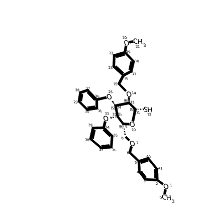 COc1ccc(COC[C@H]2O[C@@H](S)[C@H](OCc3ccc(OC)cc3)[C@@H](Oc3ccccc3)[C@H]2Oc2ccccc2)cc1